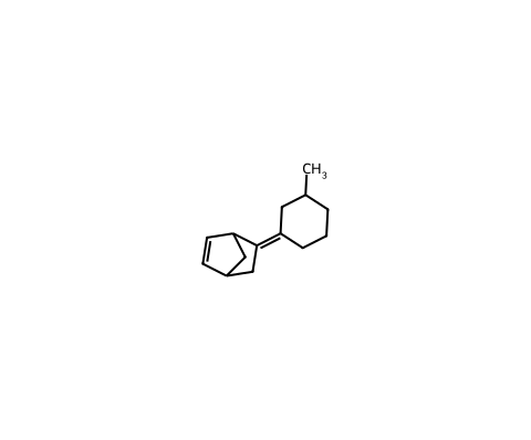 CC1CCCC(=C2CC3C=CC2C3)C1